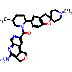 C[C@H]1CCC(c2ccc3c(c2)CC2(CCN(C)CC2)O3)N(C(=O)c2cc3c4c(c(N)nc3cn2)COC4)C1